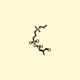 CCC[N+](C)(C)CCCS(=O)(=O)ONC=C(C)C=O